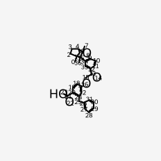 CC12CCC(C1)C1(C)Oc3ccc(C(=O)COc4ccc(C(=O)O)c(Cc5ccccc5)c4)cc3C21C